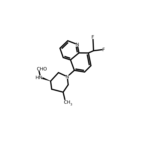 CC1C[C@@H](NC=O)CN(c2ccc(C(F)F)c3ncccc23)C1